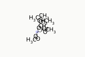 CC(=O)OC/C=C1\CC[C@@H](OC(C)=O)C(C)(CCCC(C)C(=O)CC(C)=C(C)C)OC1